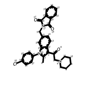 Cc1c(C(=O)CN2CCCCC2)c2ccc(CN3C(=O)c4ccccc4C3=O)cc2n1-c1ccc(Cl)cc1